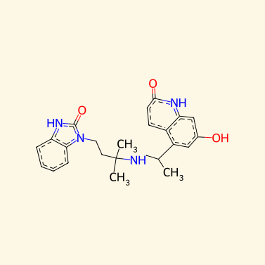 CC(CNC(C)(C)CCn1c(=O)[nH]c2ccccc21)c1cc(O)cc2[nH]c(=O)ccc12